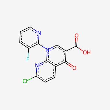 O=C(O)c1cn(-c2ncccc2F)c2nc(Cl)ccc2c1=O